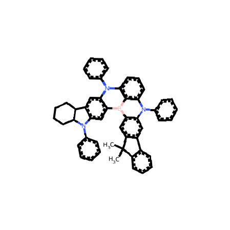 CC1(C)c2ccccc2-c2cc3c(cc21)B1c2cc4c(cc2N(c2ccccc2)c2cccc(c21)N3c1ccccc1)C1CCCCC1N4c1ccccc1